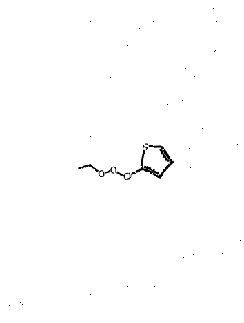 CCOOOc1cccs1